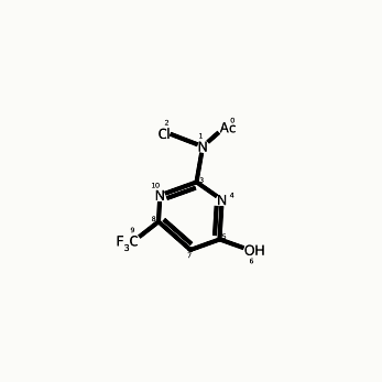 CC(=O)N(Cl)c1nc(O)cc(C(F)(F)F)n1